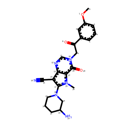 COc1cccc(C(=O)Cn2cnc3c(C#N)c(N4CCCC(N)C4)n(C)c3c2=O)c1